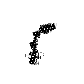 CC1c2cccc(O)c2C(=O)C2=C(O)C3(O)C(=O)C(C(N)=O)=C(OC(=O)c4cc(=O)c5c(o4)C=C=C=C5OCC(O)COc4cccc5oc(C(=O)OC6=C(C(N)=O)C(=O)C7(O)C(O)=C8C(=O)c9c(O)cccc9C(C)C8C(O)C7C6N(C)C)cc(=O)c45)C(N(C)C)C3C(O)C21